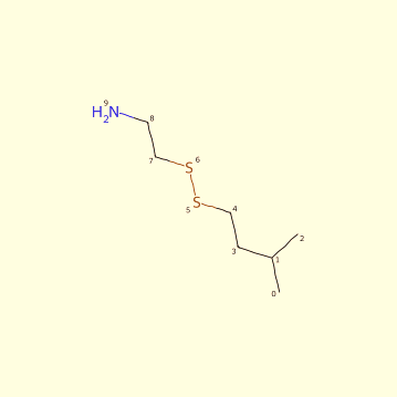 CC(C)CCSSCCN